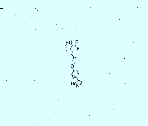 C/C(=C\C=C(/C(C)C)C(O)C(F)F)CCOc1ccc(-c2ccn[nH]2)nc1